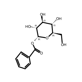 O=C(O[C@H]1O[C@H](CO)[C@@H](O)[C@H](O)[C@H]1O)c1ccccc1